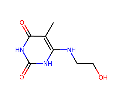 Cc1c(NCCO)[nH]c(=O)[nH]c1=O